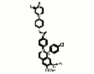 COc1cc2c(cc1OC(C)C)[C@H](c1ccc(Cl)cc1)N(c1ccc(N(C)C[C@H]3CC[C@H](N4CCN(C)C(=O)C4)CC3)cc1)CC2